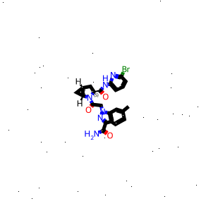 Cc1ccc2c(C(N)=O)nn(CC(=O)N3[C@@H]4C[C@@H]4C[C@H]3C(=O)Nc3cccc(Br)n3)c2c1